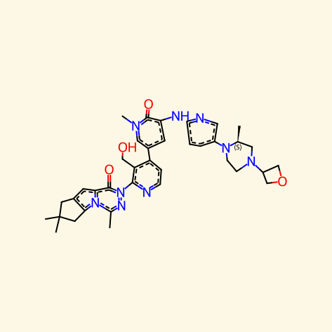 Cc1nn(-c2nccc(-c3cc(Nc4ccc(N5CCN(C6COC6)C[C@@H]5C)cn4)c(=O)n(C)c3)c2CO)c(=O)c2cc3c(n12)CC(C)(C)C3